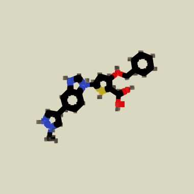 Cn1cc(-c2ccc3c(c2)ncn3-c2cc(OCc3ccccc3)c(C(=O)O)s2)cn1